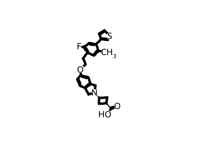 Cc1cc(CCOc2ccc3c(c2)CN([C@H]2C[C@H](C(=O)O)C2)C3)c(F)cc1-c1ccsc1